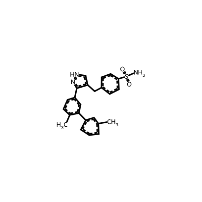 Cc1cccc(-c2cc(-c3n[nH]cc3Cc3ccc(S(N)(=O)=O)cc3)ccc2C)c1